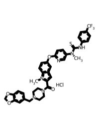 CN(C(=S)Nc1ccc(C(F)(F)F)cc1)c1ccc(Oc2ccc3c(c2)cc(C(=O)N2CCN(Cc4ccc5c(c4)OCO5)CC2)n3C)nc1.Cl